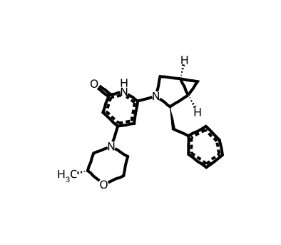 C[C@@H]1CN(c2cc(N3C[C@H]4C[C@H]4[C@H]3Cc3ccccc3)[nH]c(=O)c2)CCO1